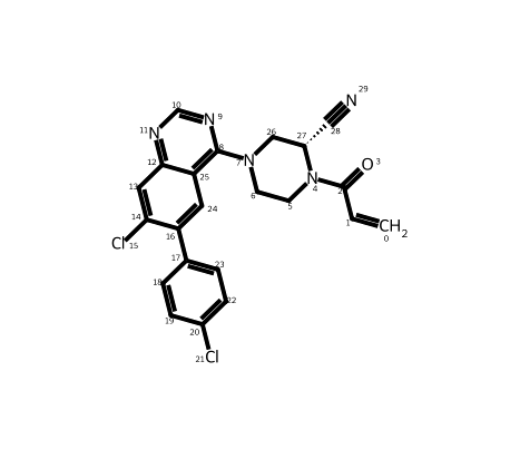 C=CC(=O)N1CCN(c2ncnc3cc(Cl)c(-c4ccc(Cl)cc4)cc23)C[C@@H]1C#N